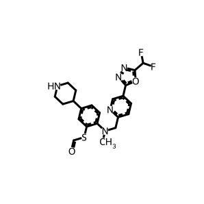 CN(Cc1ccc(-c2nnc(C(F)F)o2)cn1)c1ccc(C2CCNCC2)cc1SC=O